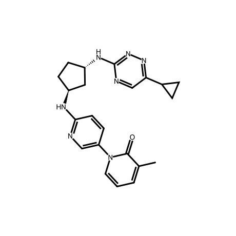 Cc1cccn(-c2ccc(N[C@H]3CC[C@H](Nc4ncc(C5CC5)nn4)C3)nc2)c1=O